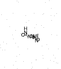 Fc1cccnc1-c1cc2n(n1)CCN(Cc1c[nH]c3ccccc13)C2